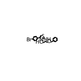 OCC(COCc1ccccc1)Nc1nc(-c2ccc(Br)cc2)cs1